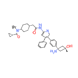 CC(C)N(C(=O)C1CC1)C1CCC(CC(=O)Nc2cc(-c3ccccc3)c(-c3ccc([C@]4(N)C[C@](C)(O)C4)cc3)cn2)CC1